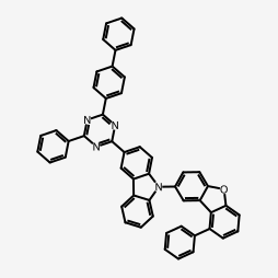 c1ccc(-c2ccc(-c3nc(-c4ccccc4)nc(-c4ccc5c(c4)c4ccccc4n5-c4ccc5oc6cccc(-c7ccccc7)c6c5c4)n3)cc2)cc1